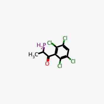 CC(P)C(=O)c1c(Cl)c(Cl)cc(Cl)c1Cl